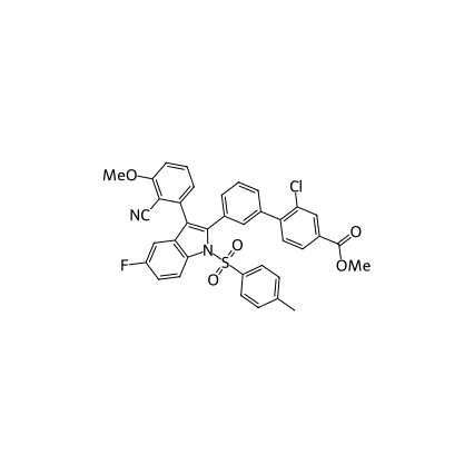 COC(=O)c1ccc(-c2cccc(-c3c(-c4cccc(OC)c4C#N)c4cc(F)ccc4n3S(=O)(=O)c3ccc(C)cc3)c2)c(Cl)c1